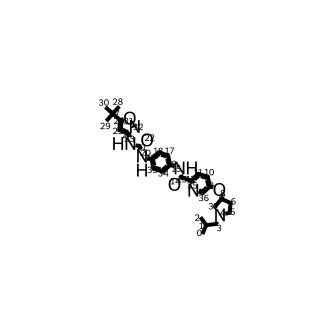 CC(C)CN1CCC(Oc2ccc(C(=O)Nc3ccc(NC(=O)Nc4cc(C(C)(C)C)on4)cc3)nc2)C1